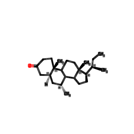 CC[C@@H](C)[C@H]1CCC2C3C(CC[C@@]21C)[C@@]1(C)CCC(=O)C[C@@H]1C[C@H]3C